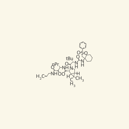 C=CCNC(=O)C(=O)C(CCC)NC(=O)[C@@H]1[C@@H]2[C@H](CN1C(=O)[C@@H](NC(=O)NC1(CS(=O)(=O)c3ccccc3)CCCCC1)C(C)(C)C)C2(C)C